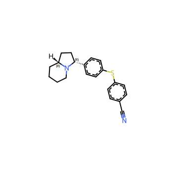 N#Cc1ccc(Sc2ccc([C@H]3CC[C@H]4CCCCN43)cc2)cc1